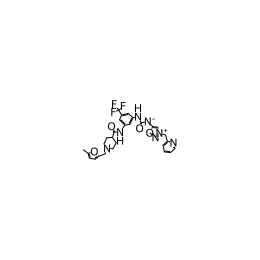 Cc1ccc(CN2CCC(C(=O)Nc3cc(NC(=O)[N-]c4c[n+](Cc5ccccn5)no4)cc(C(F)(F)F)c3)CC2)o1